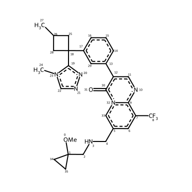 COC1(CNCc2cc(C(F)(F)F)c3ncc(-c4cccc(C5(c6nncn6C)CC(C)C5)c4)c(=O)n3c2)CC1